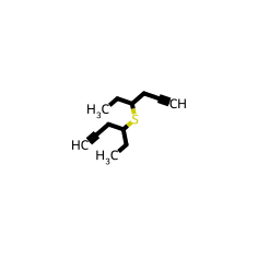 C#CCC(CC)SC(CC)CC#C